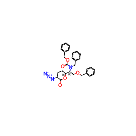 [N-]=[N+]=NC1CC[C@@H]([C@H](COCc2ccccc2)N(Cc2ccccc2)C(=O)OCc2ccccc2)OC1=O